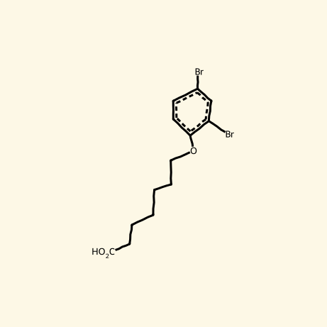 O=C(O)CCCCCCOc1ccc(Br)cc1Br